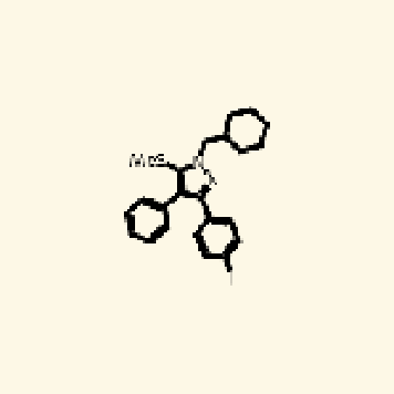 CSc1c(-c2ccccc2)c(-c2ccc(F)cc2)nn1CC1CCCCC1